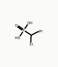 CCC(C(C)C)P(=O)(O)O